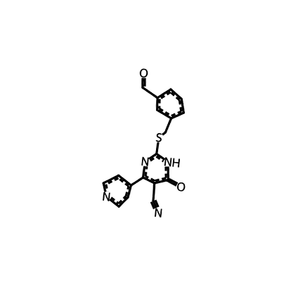 N#Cc1c(-c2ccncc2)nc(SCc2cccc(C=O)c2)[nH]c1=O